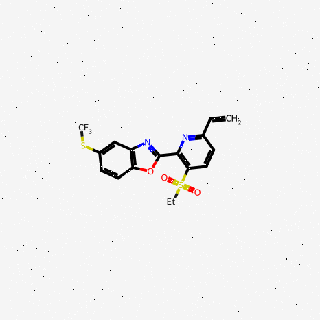 C=Cc1ccc(S(=O)(=O)CC)c(-c2nc3cc(SC(F)(F)F)ccc3o2)n1